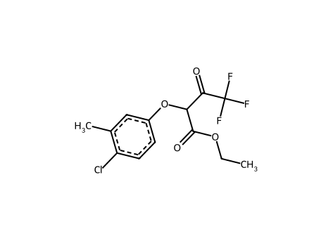 CCOC(=O)C(Oc1ccc(Cl)c(C)c1)C(=O)C(F)(F)F